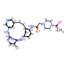 CC(=O)N1CCN(CC(=O)Nc2ccc3cc2CCc2cncc(c2)Nc2ncc(Cl)c(n2)N3)CC1